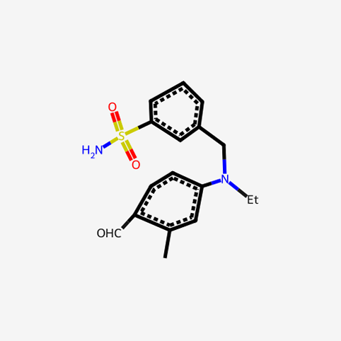 CCN(Cc1cccc(S(N)(=O)=O)c1)c1ccc(C=O)c(C)c1